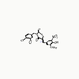 COc1cc(/C=C2\SC(=O)N(Cc3ccc(Cl)c(Cl)c3)C2=O)cc([N+](=O)[O-])c1O